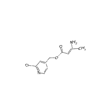 C/C(N)=C/C(=O)OCc1ccnc(Cl)c1